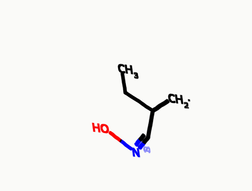 [CH2]C(/C=N\O)CC